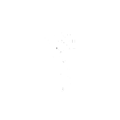 CC(C)(C)N(C(=O)O)C(c1ccccc1)c1cccc(OCCc2ccc(Br)cc2)c1